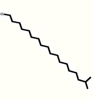 CC(C)CCCCCCCCCCCCCCCCS